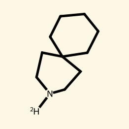 [2H]N1CCC2(CCCCC2)CC1